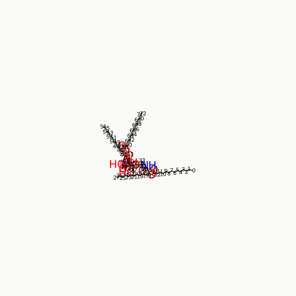 CCCCCCCCCCCCCC(=O)OC(CCCCCCCCCCC)CC(=O)NC(C)COC(CO)[C@H](COC(=O)CC(CCCCCCCCCCC)OC(=O)CCCCCCCCCCCCC)OP(=O)(O)O